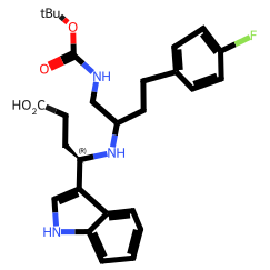 CC(C)(C)OC(=O)NCC(CCc1ccc(F)cc1)N[C@H](CCC(=O)O)c1c[nH]c2ccccc12